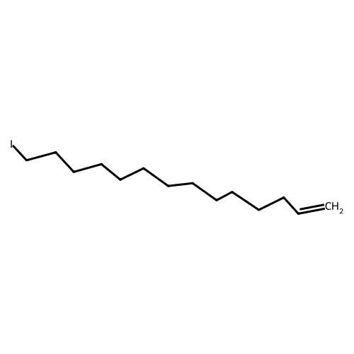 C=CCCCCCCCCCCCCI